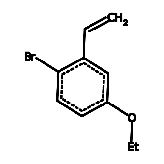 C=Cc1cc(OCC)ccc1Br